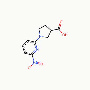 O=C(O)C1CCN(c2cccc([N+](=O)[O-])n2)C1